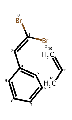 BrC(Br)=Cc1ccccc1.C=CC